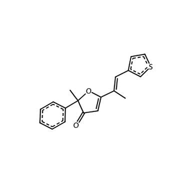 CC(=Cc1ccsc1)C1=CC(=O)C(C)(c2ccccc2)O1